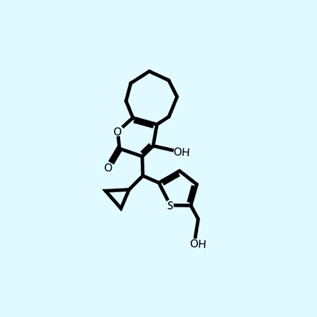 O=c1oc2c(c(O)c1C(c1ccc(CO)s1)C1CC1)CCCCCC2